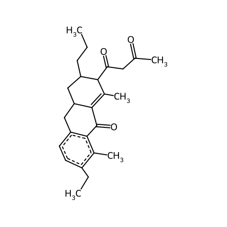 CCCC1CC2Cc3ccc(CC)c(C)c3C(=O)C2=C(C)C1C(=O)CC(C)=O